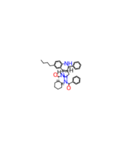 CCCCc1ccc2c(c1)[C@H]1[C@H](CCN1C(=O)[C@H]1CCCC[C@H]1NC(=O)c1ccccc1)[C@H](c1ccccc1)N2